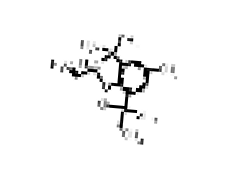 C=CCOc1c(C(C)(C)C)cc(C)cc1C([SiH3])(Cl)CC